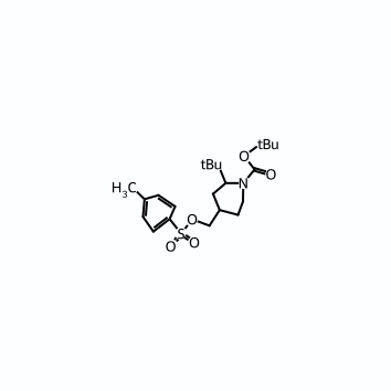 Cc1ccc(S(=O)(=O)OCC2CCN(C(=O)OC(C)(C)C)C(C(C)(C)C)C2)cc1